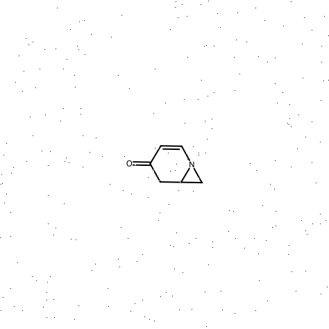 O=C1C=CN2CC2C1